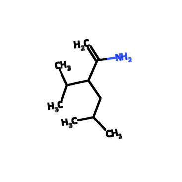 C=C(N)C(CC(C)C)C(C)C